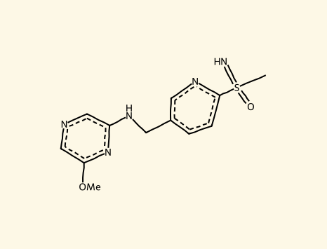 COc1cncc(NCc2ccc(S(C)(=N)=O)nc2)n1